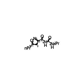 CCCc1cc(C(=O)NC(=O)NC(C)C)no1